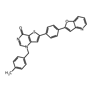 Cc1ccc(Cn2cnc(=O)c3sc(-c4ccc(-c5cc6ncccc6o5)cc4)cc32)cc1